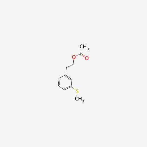 CSc1cccc(CCOC(C)=O)c1